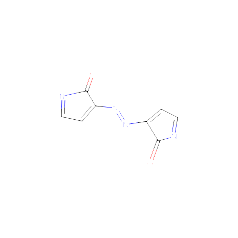 O=C1N=CC=C1N=NC1=CC=NC1=O